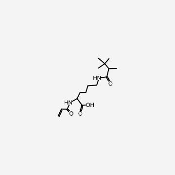 C=CC(=O)NC(CCCCNC(=O)C(C)C(C)(C)C)C(=O)O